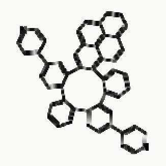 c1cc2ccc3cc4c5cc(-c6ccncc6)ccc5c5ccccc5c5ccc(-c6ccncc6)cc5c5ccccc5c4c4ccc(c1)c2c34